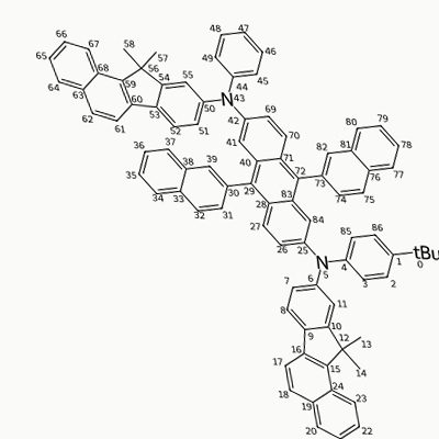 CC(C)(C)c1ccc(N(c2ccc3c(c2)C(C)(C)c2c-3ccc3ccccc23)c2ccc3c(-c4ccc5ccccc5c4)c4cc(N(c5ccccc5)c5ccc6c(c5)C(C)(C)c5c-6ccc6ccccc56)ccc4c(-c4ccc5ccccc5c4)c3c2)cc1